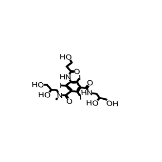 CN(CC(O)CO)C(=O)c1c(I)c(NC(=O)CCO)c(I)c(C(=O)NCC(O)CO)c1I